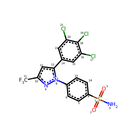 NS(=O)(=O)c1ccc(-n2nc(C(F)(F)F)cc2-c2cc(Cl)c(Cl)c(Cl)c2)cc1